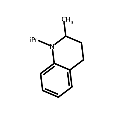 CC(C)N1c2ccccc2CCC1C